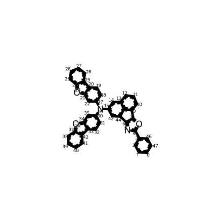 c1ccc(-c2nc3c(o2)-c2cccc4cc(N(c5ccc6c(c5)oc5ccccc56)c5ccc6c(c5)oc5ccccc56)cc-3c24)cc1